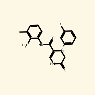 Cc1c(I)cccc1NC(=O)C1=CNC(=O)C[C@H]1c1cccc(F)c1